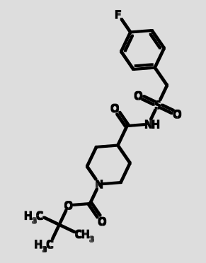 CC(C)(C)OC(=O)N1CCC(C(=O)NS(=O)(=O)Cc2ccc(F)cc2)CC1